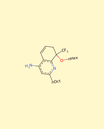 CCCCCCCCc1cc(N)c2c(n1)C(OCCCCCC)(C(F)(F)F)CC=C2